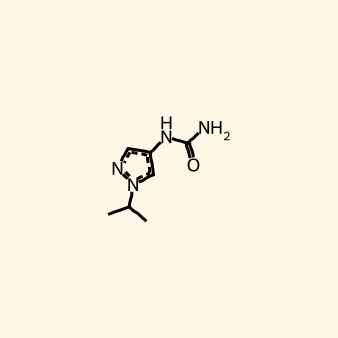 CC(C)n1cc(NC(N)=O)cn1